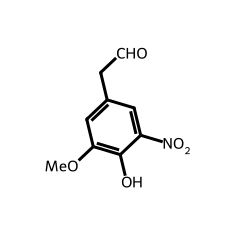 COc1cc(CC=O)cc([N+](=O)[O-])c1O